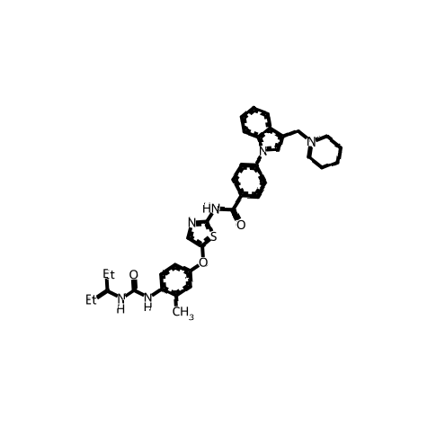 CCC(CC)NC(=O)Nc1ccc(Oc2cnc(NC(=O)c3ccc(-n4cc(CN5CCCCC5)c5ccccc54)cc3)s2)cc1C